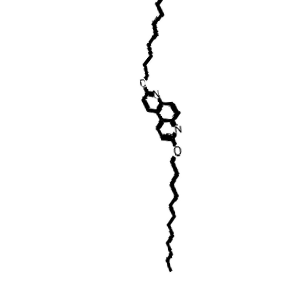 CCCCCCCCCCCCOc1ccc2c(ccc3nc(OCCCCCCCCC)ccc32)n1